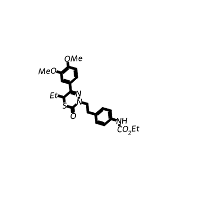 CCOC(=O)Nc1ccc(CCN2N=C(c3ccc(OC)c(OC)c3)C(CC)SC2=O)cc1